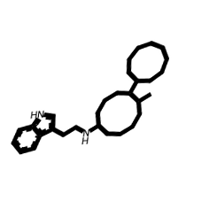 CC1CCCCC(NCCc2c[nH]c3ccccc23)CCCC1C1CCCCCCCC1